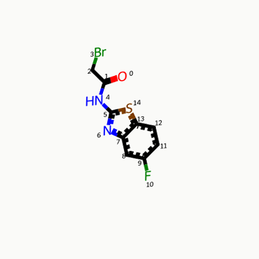 O=C(CBr)Nc1nc2cc(F)ccc2s1